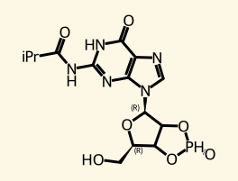 CC(C)C(=O)Nc1nc2c(ncn2[C@@H]2O[C@H](CO)C3O[PH](=O)OC32)c(=O)[nH]1